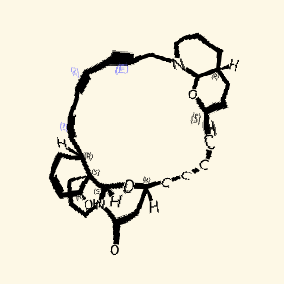 O=C1C[C@H]2CCCC[C@H]3CC[C@H]4CCCN(C/C=C/C=C\C=C/[C@H]5CC=C[C@@H](O)[C@]56CCCN1[C@H]6O2)C4O3